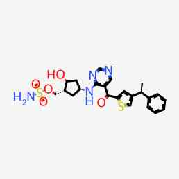 C[C@@H](c1ccccc1)c1csc(C(=O)c2cncnc2N[C@@H]2C[C@H](COS(N)(=O)=O)[C@@H](O)C2)c1